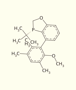 COc1c(C)cc(C)c(C)c1-c1cccc2c1[P@](C(C)(C)C)CO2